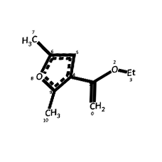 C=C(OCC)c1cc(C)oc1C